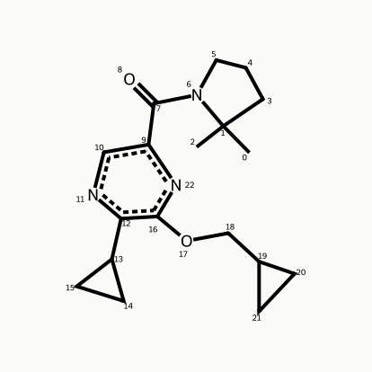 CC1(C)CCCN1C(=O)c1cnc(C2CC2)c(OCC2CC2)n1